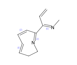 C=CC(=N\C)/C1=N\CC/C=C/C=C\1